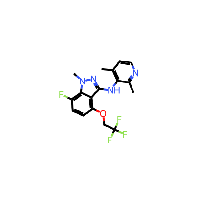 Cc1ccnc(C)c1Nc1nn(C)c2c(F)ccc(OCC(F)(F)F)c12